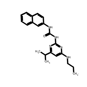 [CH2]CCNc1cc(C(C)C)nc(NC(=O)Nc2ccc3ccccc3c2)n1